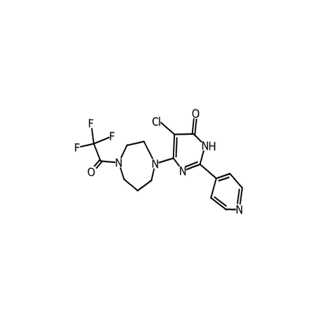 O=C(N1CCCN(c2nc(-c3ccncc3)[nH]c(=O)c2Cl)CC1)C(F)(F)F